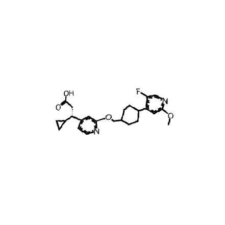 COc1cc(C2CCC(COc3cc([C@@H](CC(=O)O)C4CC4)ccn3)CC2)c(F)cn1